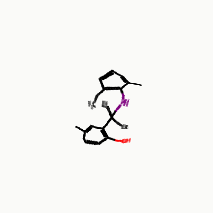 CCC(CC)(Pc1c(C)cccc1C(F)(F)F)c1cc(C)ccc1O